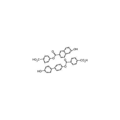 O=C(O)c1ccc(C(=O)Oc2ccc(-c3ccc(O)cc3)cc2)cc1.O=C(O)c1ccc(OC(=O)c2ccc3cc(O)ccc3c2)cc1